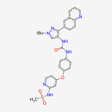 CC(C)(C)n1cc(NC(=O)Nc2ccc(Oc3ccnc(NS(C)(=O)=O)c3)cc2)c(-c2ccc3ncccc3c2)n1